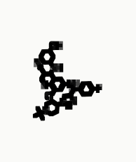 CC(C)(C)N1CCC(n2cc([C@@H](Nc3cc(Cl)c4ncc(C#N)c(NC5CCCC(O)C5)c4c3)c3ccc(F)cc3)nn2)CC1